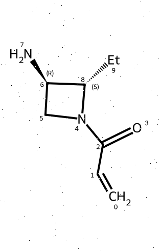 C=CC(=O)N1C[C@@H](N)[C@@H]1CC